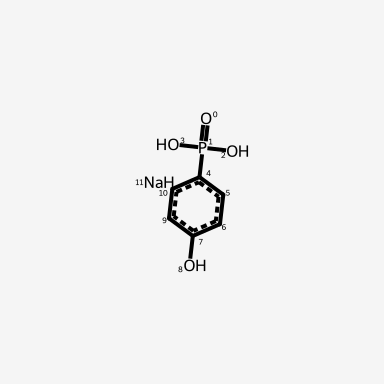 O=P(O)(O)c1ccc(O)cc1.[NaH]